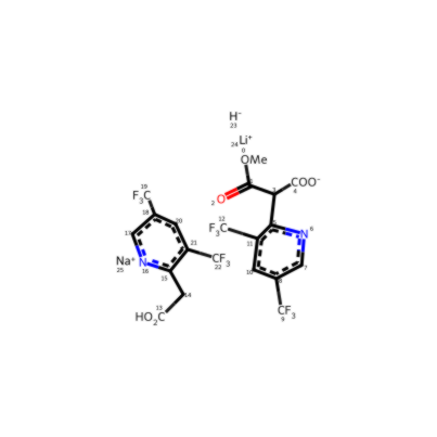 COC(=O)C(C(=O)[O-])c1ncc(C(F)(F)F)cc1C(F)(F)F.O=C(O)Cc1ncc(C(F)(F)F)cc1C(F)(F)F.[H-].[Li+].[Na+]